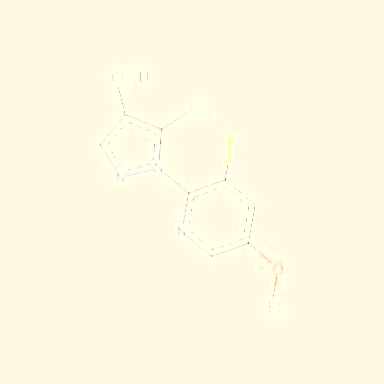 CCOc1cnc(-n2ncc(C(=O)O)c2C(F)(F)F)c(F)c1